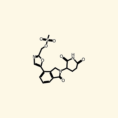 CS(=O)(=O)OCc1ncc(-c2cccc3c2CN(C2CCC(=O)NC2=O)C3=O)o1